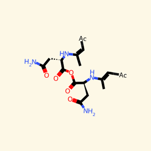 CC(=O)C=C(C)N[C@@H](CC(N)=O)C(=O)OC(=O)[C@H](CC(N)=O)NC(C)=CC(C)=O